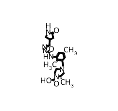 Cc1cc(CN2CCN(C(=O)O)[C@@H](C)C2)c(C)c(Nc2nnc(C3CNC(=O)C3)o2)c1